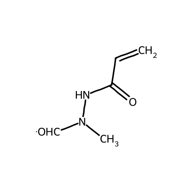 C=CC(=O)NN(C)[C]=O